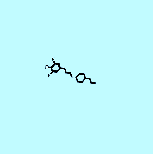 CCC[C@H]1CC[C@H](CCCCc2cc(F)c(F)c(F)c2)CC1